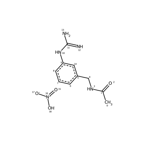 CC(=O)NCc1cccc(NC(=N)N)c1.O=[N+]([O-])O